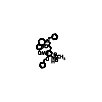 COc1ccc2c(c1)CC(N(Cc1ccccc1)C[C@H](O)Cc1ccc(OCc3ccccc3)c(NS(C)(=O)=O)c1)CCC2